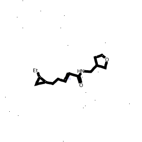 CCC1CC1CC/C=C/C(=O)NCC1CCOC1